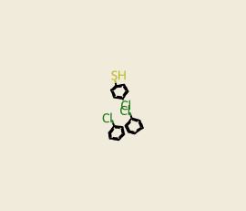 Clc1ccccc1.Clc1ccccc1.Sc1ccc(Cl)cc1